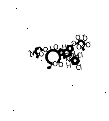 CC[C@H]1CCC[C@H](O[C@H]2CC[C@H](N(C)C)C(C)O2)[C@@H](C)C(=O)C2=C[C@H]3[C@@H]4C[C@H](O[C@@H]5OC(C)[C@H](OC)C(OC)C5OC)C[C@H]4[C@@H](O)[C@@]4(Nc5cc(Cl)cc(Cl)c5)C[C@]34[C@@H]2CC(=O)O1